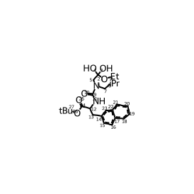 CCOC(O)(O)CN(CC(C)C)C(=O)NC(Cc1ccc2ccccc2c1)C(=O)OC(C)(C)C